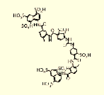 Cc1ccc(C(=O)Nc2ccc(S(=O)(=O)O)c3cc(S(=O)(=O)O)cc(S(=O)(=O)O)c23)cc1NC(=O)c1ccc(NC(=O)Nc2ccc(C(=O)Nc3cc(C(=O)Nc4ccc(S(=O)(=O)O)c5cc(S(=O)(=O)O)cc(S(=O)(=O)O)c45)ccc3C)c(S(=O)(=O)O)c2)cc1S(=O)(=O)O